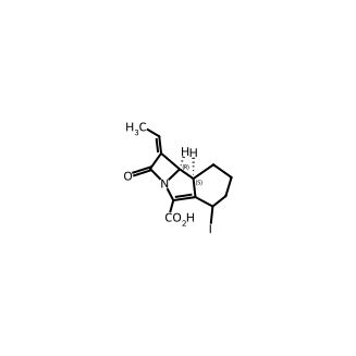 CC=C1C(=O)N2C(C(=O)O)=C3C(I)CCC[C@@H]3[C@H]12